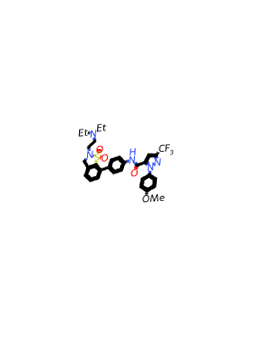 CCN(CC)CCN1Cc2cccc(-c3ccc(NC(=O)c4cc(C(F)(F)F)nn4-c4ccc(OC)cc4)cc3)c2S1(=O)=O